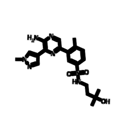 Cc1ccc(S(=O)(=O)NCCC(C)(C)O)cc1-c1cnc(N)c(-c2cnn(C)c2)n1